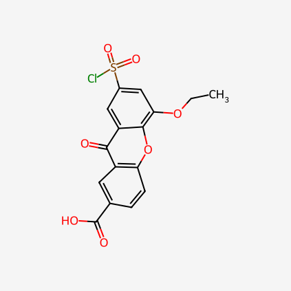 CCOc1cc(S(=O)(=O)Cl)cc2c(=O)c3cc(C(=O)O)ccc3oc12